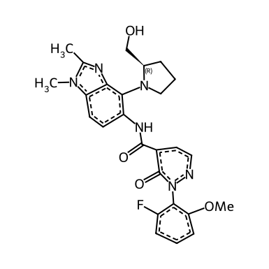 COc1cccc(F)c1-n1nccc(C(=O)Nc2ccc3c(nc(C)n3C)c2N2CCC[C@@H]2CO)c1=O